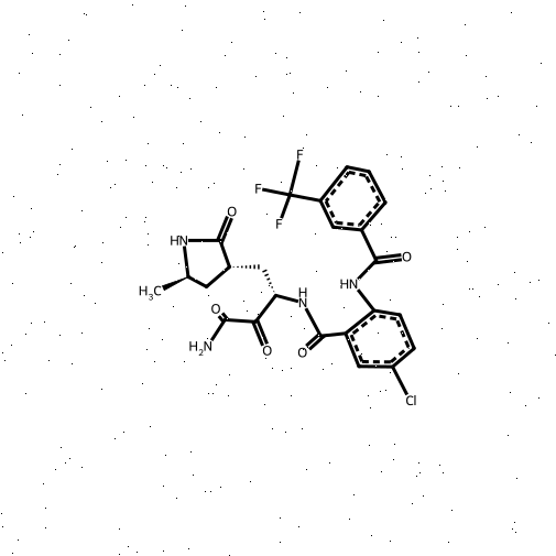 C[C@@H]1C[C@@H](C[C@H](NC(=O)c2cc(Cl)ccc2NC(=O)c2cccc(C(F)(F)F)c2)C(=O)C(N)=O)C(=O)N1